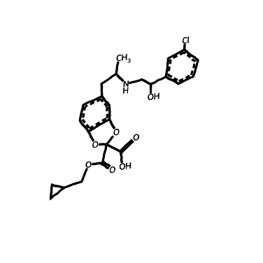 CC(Cc1ccc2c(c1)OC(C(=O)O)(C(=O)OCC1CC1)O2)NCC(O)c1cccc(Cl)c1